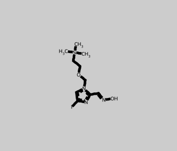 C[Si](C)(C)CCOCn1cc(I)nc1C=NO